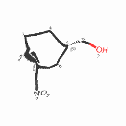 O=[N+]([O-])C1=CCC[C@H](CO)C1